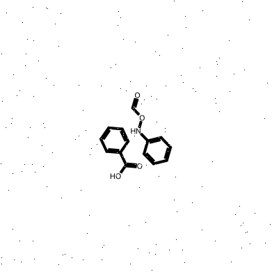 O=C(O)c1ccccc1.O=CONc1ccccc1